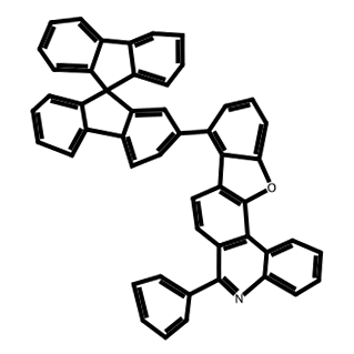 c1ccc(-c2nc3ccccc3c3c2ccc2c3oc3cccc(-c4ccc5c(c4)C4(c6ccccc6-c6ccccc64)c4ccccc4-5)c32)cc1